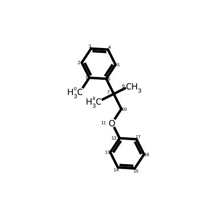 Cc1ccccc1C(C)(C)COc1ccccc1